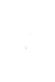 CCOC(=O)N1CCCC1C